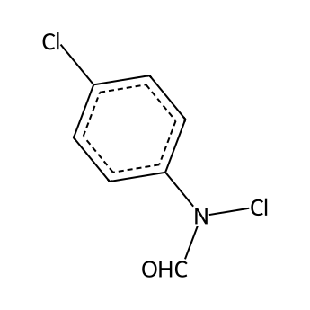 O=CN(Cl)c1ccc(Cl)cc1